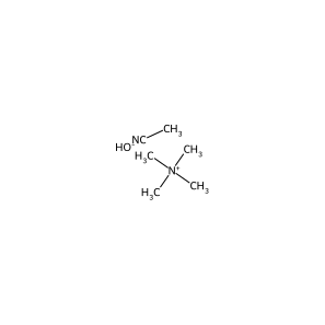 CC#N.C[N+](C)(C)C.[OH-]